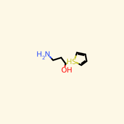 NCCC(O)[SH]1C=CC=C1